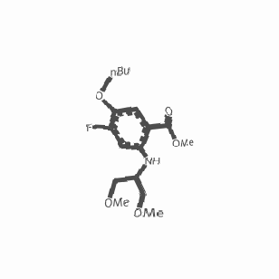 CCCCOc1cc(C(=O)OC)c(NC(COC)COC)cc1F